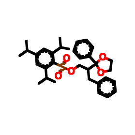 CC(C)c1cc(C(C)C)c(S(=O)(=O)OCC(Cc2ccccc2)C2(c3ccccc3)OCCO2)c(C(C)C)c1